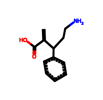 C=C(C(=O)O)C(CCN)c1ccccc1